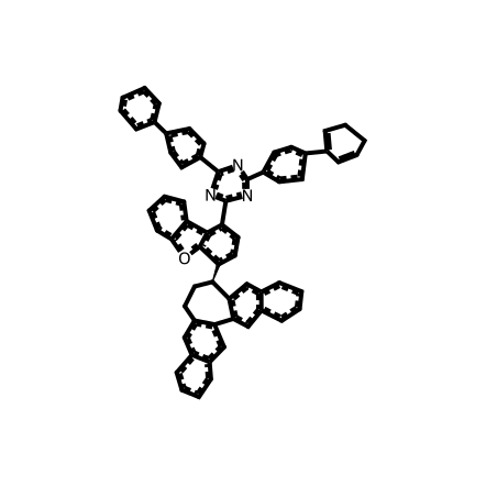 C1=CC(c2ccc(-c3nc(-c4ccc(-c5ccccc5)cc4)nc(-c4ccc([C@@H]5CCc6cc7ccccc7cc6-c6cc7ccccc7cc65)c5oc6ccccc6c45)n3)cc2)=CCC1